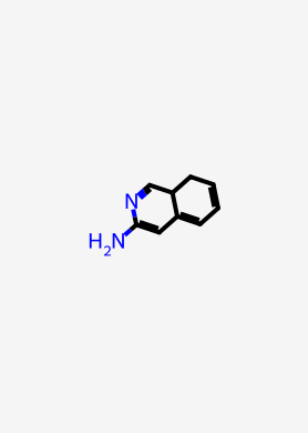 NC1=CC2=CC=CCC2C=N1